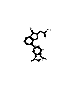 C=C(C#N)CN1Cc2c(cccc2-c2ccc3c(c2)n(C)c[n+]3C)C1=O